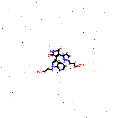 O=C1NC(=O)C(c2cn(CCCO)c3ncccc23)=C1c1ccn(CCCO)n1